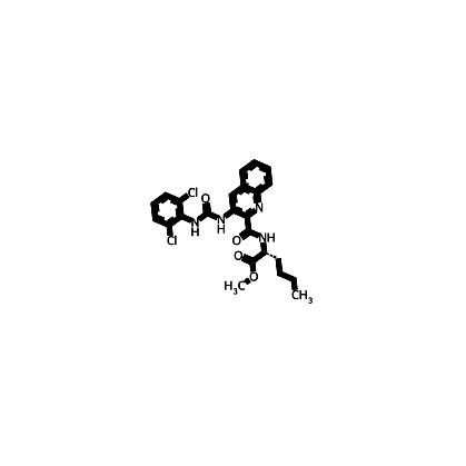 CCCC[C@@H](NC(=O)c1nc2ccccc2cc1NC(=O)Nc1c(Cl)cccc1Cl)C(=O)OC